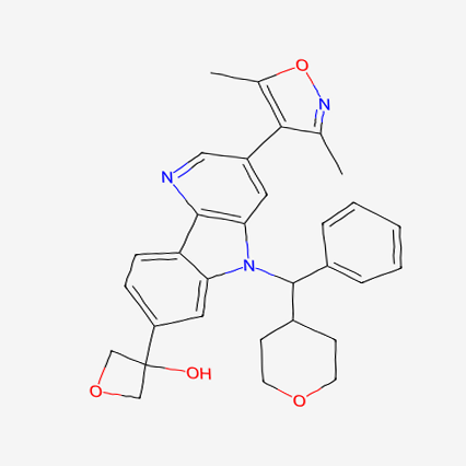 Cc1noc(C)c1-c1cnc2c3ccc(C4(O)COC4)cc3n(C(c3ccccc3)C3CCOCC3)c2c1